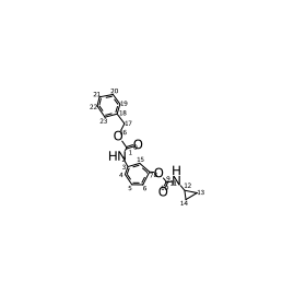 O=C(Nc1cccc(OC(=O)NC2CC2)c1)OCc1ccccc1